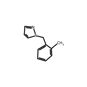 Cc1ccccc1Cn1c[c]cn1